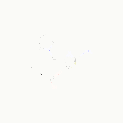 Nc1nc(CN2CCCC2)cs1.O=C(O)C(F)(F)F